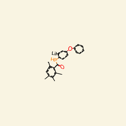 Cc1cc(C)c(C(=O)Pc2ccc(Oc3ccccc3)cc2)c(C)c1C.[LiH]